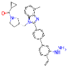 C=Cc1ccc(-c2ccc(-c3nc4c(C)cccc4n3C[C@@H]3CCN(C(=O)C4CC4)C3)cc2)cc1NN